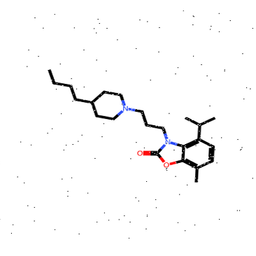 CCCCC1CCN(CCCn2c(=O)oc3c(C)ccc(C(C)C)c32)CC1